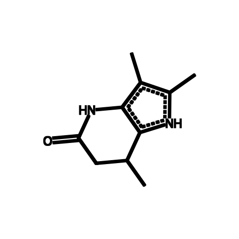 Cc1[nH]c2c(c1C)NC(=O)CC2C